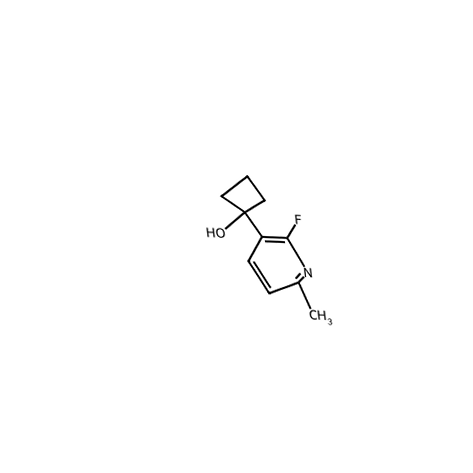 Cc1ccc(C2(O)CCC2)c(F)n1